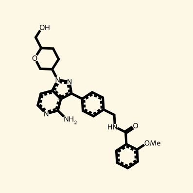 COc1ccccc1C(=O)NCc1ccc(-c2nn(C3CCC(CO)OC3)c3ccnc(N)c23)cc1